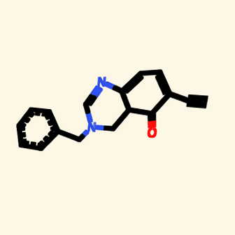 C#CC1=CC=C2N=CN(Cc3ccccc3)CC2C1=O